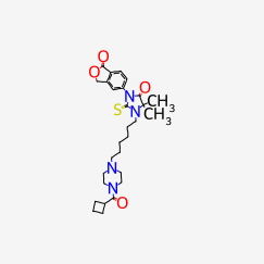 CC1(C)C(=O)N(c2ccc3c(c2)COC3=O)C(=S)N1CCCCCCN1CCN(C(=O)C2CCC2)CC1